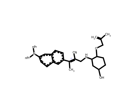 C=C(C)COC1CCC(O)CC1NC/C(C#N)=C(\C)c1ccc2cc(N(CCC)CCC)ccc2c1